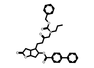 CCCN(CC(=O)CCC1C(OC(=O)c2ccc(-c3ccccc3)cc2)CC2OC(=O)CC21)C(=O)OCc1ccccc1